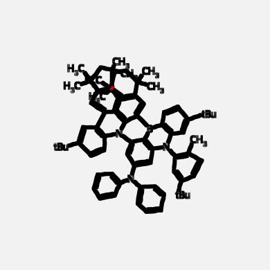 Cc1ccc(C(C)(C)C)cc1N1c2cc(C(C)(C)C)ccc2B2c3cc4c(cc3N(c3ccc(C(C)(C)C)cc3-c3ccc5c(c3)C(C)(C)CC5(C)C)c3cc(N(c5ccccc5)c5ccccc5)cc1c32)C(C)(C)CCC4(C)C